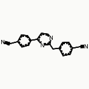 N#Cc1ccc(Cc2nccc(-c3ccc(C#N)cc3)n2)cc1